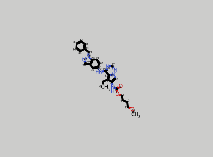 CCc1c(NC(=O)OCCCCOC)cn2ncnc(Nc3ccc4c(cnn4Cc4ccccc4)c3)c12